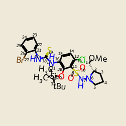 COC[C@@H]1CCCN1NS(=O)(=O)c1c(Cl)ccc(NC(=S)Nc2ccccc2Br)c1O[Si](C)(C)C(C)(C)C